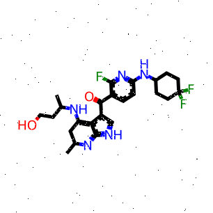 CC1CC(NC(C)CCO)=c2c(C(=O)c3ccc(NC4CCC(F)(F)CC4)nc3F)c[nH]c2=N1